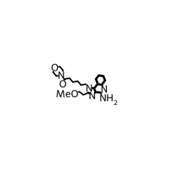 COCCc1nc2c(N)nc3ccccc3c2n1CCCCCC(=O)N1CCOCC1